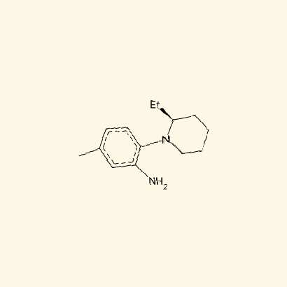 CC[C@H]1CCCCN1c1ccc(C)cc1N